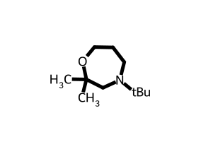 CC1(C)CN(C(C)(C)C)CCCO1